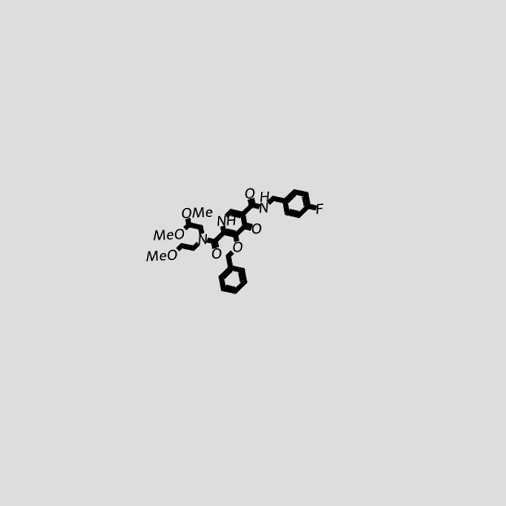 COCCN(CC(OC)OC)C(=O)c1[nH]cc(C(=O)NCc2ccc(F)cc2)c(=O)c1OCc1ccccc1